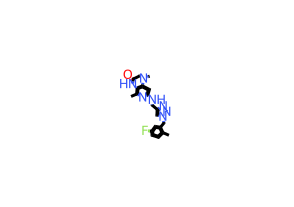 Cc1ccc(F)cc1Cn1cc(CNc2cc3c(c(C)n2)NC(=O)CN3C)nn1